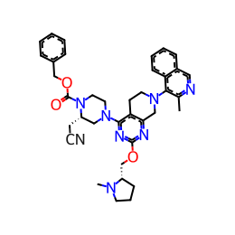 Cc1ncc2ccccc2c1N1CCc2c(nc(OC[C@@H]3CCCN3C)nc2N2CCN(C(=O)OCc3ccccc3)[C@@H](CC#N)C2)C1